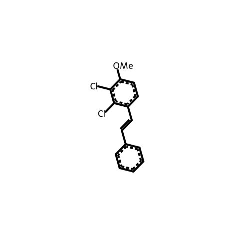 COc1ccc(C=Cc2ccccc2)c(Cl)c1Cl